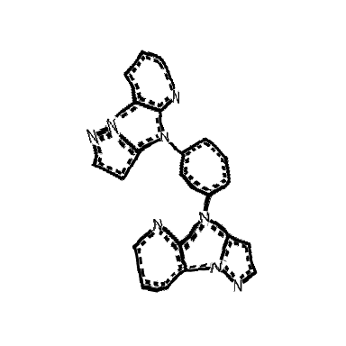 c1cc(-n2c3ncccc3n3nccc23)cc(-n2c3ncccc3n3nccc23)c1